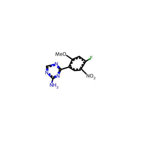 COc1cc(F)c([N+](=O)[O-])cc1-c1ncnc(N)n1